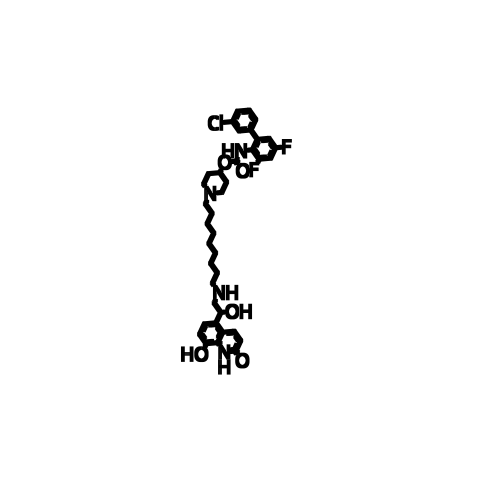 O=C(Nc1c(F)cc(F)cc1-c1cccc(Cl)c1)OC1CCN(CCCCCCCCCNCC(O)c2ccc(O)c3[nH]c(=O)ccc23)CC1